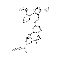 COC(=O)c1cncc(C2(C)CC2c2ccc(OCc3c(-c4ccccc4OC(F)(F)F)noc3C3CC3)cc2Cl)c1